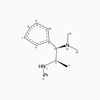 CC(C)N[C@H](C)[C@@H](c1ccccc1)N(C)C